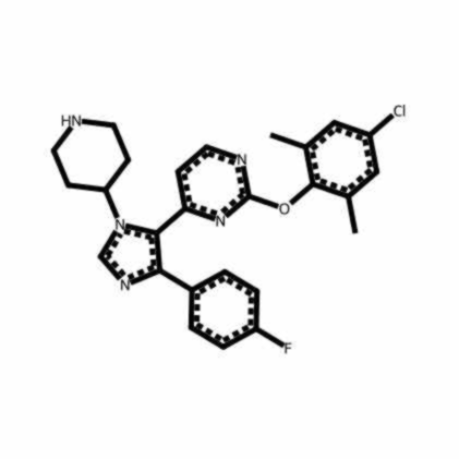 Cc1cc(Cl)cc(C)c1Oc1nccc(-c2c(-c3ccc(F)cc3)ncn2C2CCNCC2)n1